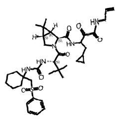 C=CCNC(=O)C(=O)C(CC1CC1)NC(=O)[C@@H]1[C@@H]2[C@H](CN1C(=O)[C@@H](NC(=O)NC1(CS(=O)(=O)c3ccccc3)CCCCC1)C(C)(C)C)C2(C)C